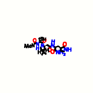 CNC(=O)N[C@H](C(=O)N1C[C@H]2[C@@H]([C@H]1CC(=O)N[C@@H](C[C@@H]1CCNC1=O)C(N)=O)C2(C)C)C(C)(C)C